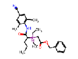 CCCC(C(=O)Nc1c(C)cc(C#N)cc1C)[PH](CC)(CC)CC(=O)OCc1ccccc1